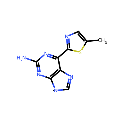 Cc1cnc(-c2nc(N)nc3c2N=C[N]3)s1